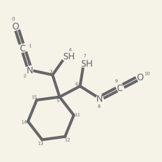 O=C=NC(S)C1(C(S)N=C=O)CCCCC1